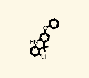 CC1(C)c2ccc(Oc3ccccc3)cc2Nc2cccc(Cl)c21